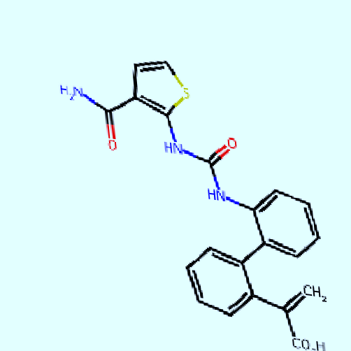 C=C(C(=O)O)c1ccccc1-c1ccccc1NC(=O)Nc1sccc1C(N)=O